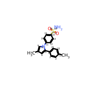 Cc1ccc(-c2cc(C)cn2-c2ccc(S(N)(=O)=O)cc2)cc1